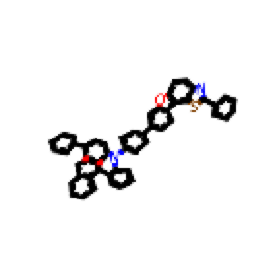 c1ccc(-c2ccc(N(c3ccc(-c4ccc5c(c4)oc4ccc6nc(-c7ccccc7)sc6c45)cc3)c3ccccc3-c3cccc4ccccc34)cc2)cc1